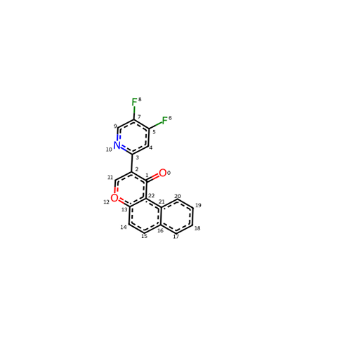 O=c1c(-c2cc(F)c(F)cn2)coc2ccc3ccccc3c12